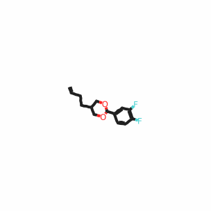 C=CCCC1COC(c2ccc(F)c(F)c2)OC1